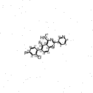 CNc1nc(-c2cccnc2)nc2ccc(-c3ccc(F)cc3Cl)c(F)c12